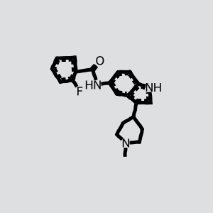 CN1CCC(c2c[nH]c3ccc(NC(=O)c4ccccc4F)cc23)CC1